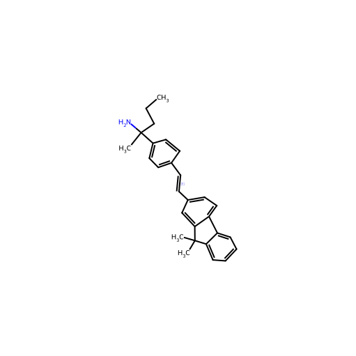 CCCC(C)(N)c1ccc(/C=C/c2ccc3c(c2)C(C)(C)c2ccccc2-3)cc1